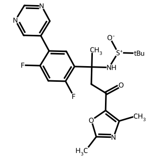 Cc1nc(C)c(C(=O)CC(C)(N[S+]([O-])C(C)(C)C)c2cc(-c3cncnc3)c(F)cc2F)o1